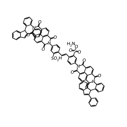 NOS(=O)(=O)c1cc(N2C(=O)c3ccc4c5c(ccc(c35)C2=O)C(=O)N(c2ccccc2C2C(c3ccccc3)=Cc3ccccc32)C4=O)ccc1/C=C/c1ccc(N2C(=O)c3ccc4c5c(ccc(c35)C2=O)C(=O)N(c2ccccc2C2C(c3ccccc3)=Cc3ccccc32)C4=O)cc1S(=O)(=O)O